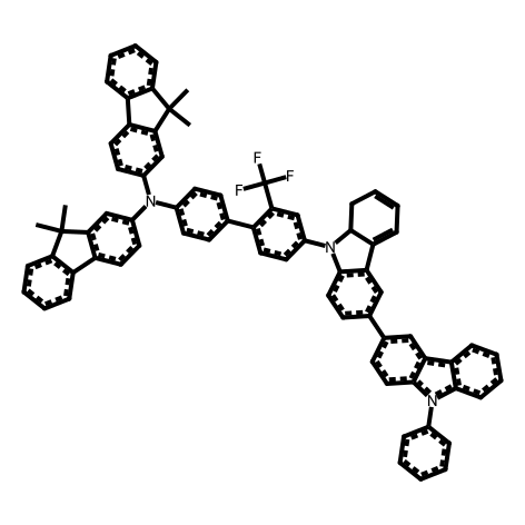 CC1(C)c2ccccc2-c2ccc(N(c3ccc(-c4ccc(N5c6ccc(-c7ccc8c(c7)c7ccccc7n8-c7ccccc7)cc6C6=CC=CCC65)cc4C(F)(F)F)cc3)c3ccc4c(c3)C(C)(C)c3ccccc3-4)cc21